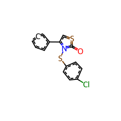 O=c1scc(-c2ccccc2)n1Sc1ccc(Cl)cc1